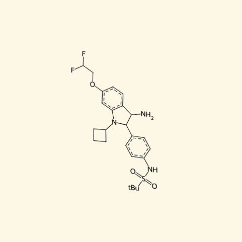 CC(C)(C)S(=O)(=O)Nc1ccc(C2C(N)c3ccc(OCC(F)F)cc3N2C2CCC2)cc1